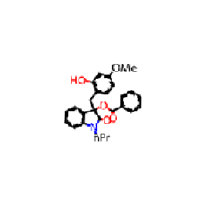 CCCN1C(=O)C(Cc2ccc(OC)cc2O)(OC(=O)c2ccccc2)c2ccccc21